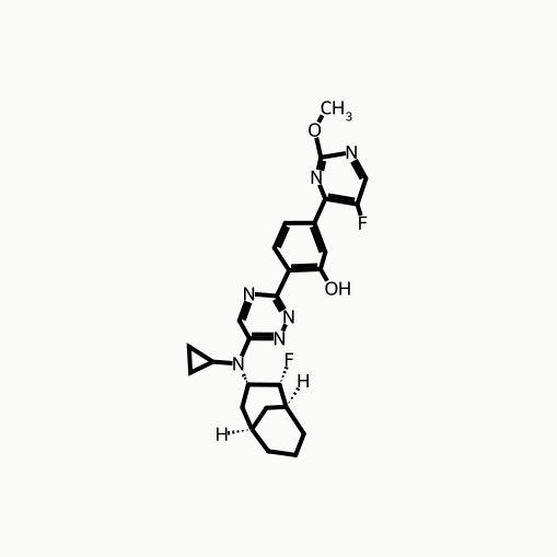 COc1ncc(F)c(-c2ccc(-c3ncc(N(C4CC4)[C@H]4C[C@@H]5CCC[C@@H](C5)[C@H]4F)nn3)c(O)c2)n1